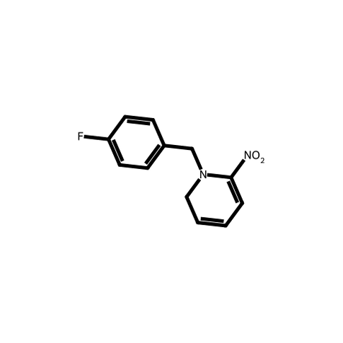 O=[N+]([O-])C1=CC=CCN1Cc1ccc(F)cc1